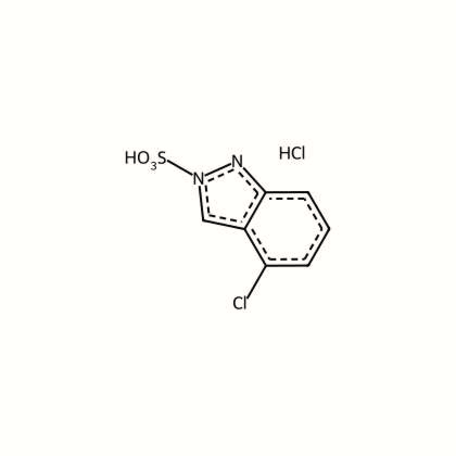 Cl.O=S(=O)(O)n1cc2c(Cl)cccc2n1